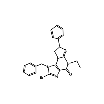 CCN1C(=O)c2nc(Br)n(Cc3ccccc3)c2N2C[C@@H](c3ccccc3)N=C12